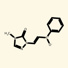 Cn1cnn(/C=C/[S+]([O-])c2ccccc2)c1=O